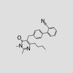 CCCCc1nc(C)n(C)c(=O)c1Cc1ccc(-c2ccccc2C#N)cc1